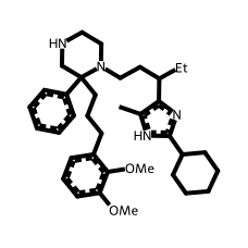 CCC(CCN1CCNCC1(CCCc1cccc(OC)c1OC)c1ccccc1)c1nc(C2CCCCC2)[nH]c1C